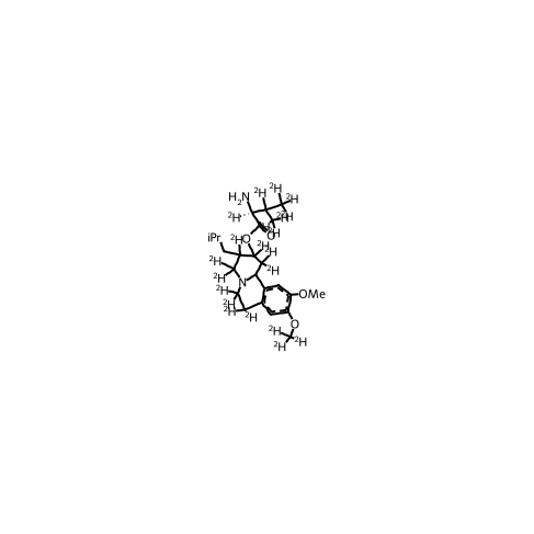 [2H]C([2H])([2H])Oc1cc2c(cc1OC)C1N(C([2H])([2H])C2([2H])[2H])C([2H])([2H])C([2H])(CC(C)C)C([2H])(OC(=O)[C@@]([2H])(N)C([2H])(C([2H])([2H])[2H])C([2H])([2H])[2H])C1([2H])[2H]